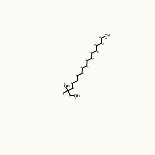 CC(O)(CO)CCCCCCCCCCCCCCO